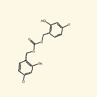 O=C(OCc1ccc(Cl)cc1O)OCc1ccc(Cl)cc1O